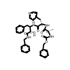 C[C@H](NC(=O)OCc1ccccc1)C(=O)N[C@@H](Cc1ccncc1)C(=O)NC(Cc1ccccc1)[C@H](O)C(=O)NCc1ccccc1